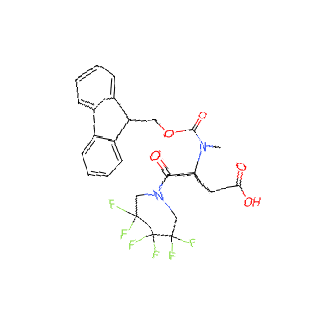 CN(C(=O)OCC1c2ccccc2-c2ccccc21)C(CC(=O)O)C(=O)N1CC(F)(F)C(F)(F)C(F)(F)C1